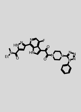 CCN(C)C(=O)c1cc(-c2ncc(F)c3c(C(=O)C(=O)N4CCN(c5nnnn5-c5ccccc5)CC4)c[nH]c23)n[nH]1